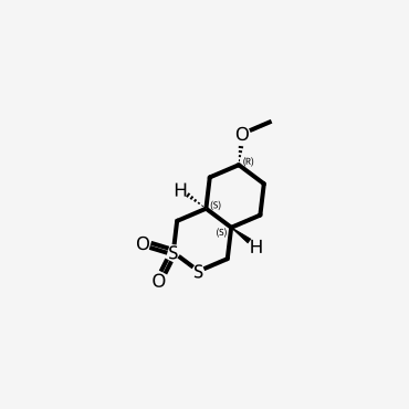 CO[C@@H]1CC[C@@H]2CSS(=O)(=O)C[C@H]2C1